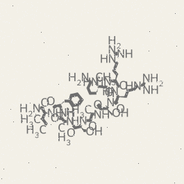 CC[C@H](C)[C@H](NC(=O)[C@H](Cc1ccccc1)NC(=O)[C@H](C)NC(=O)[C@H](CO)NC(=O)[C@H](C)NC(=O)[C@H](CO)NC(=O)[C@H](CCCNC(=N)N)NC(=O)[C@H](CCCNC(=N)N)NC(=O)[C@H](CCCCN)NC)C(N)=O